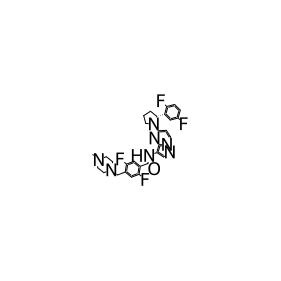 CN1CCN(Cc2cc(F)c(C(=O)Nc3cnn4ccc(N5CCC[C@@H]5c5cc(F)ccc5F)nc34)cc2F)CC1